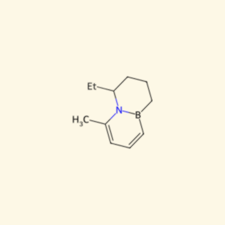 CCC1CCCB2C=CC=C(C)N21